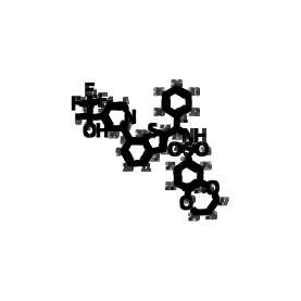 CC(O)(c1ccnc(-c2cccc3cc(C(NS(=O)(=O)c4ccc5c(c4)OCCCO5)c4ccccc4)sc23)c1)C(F)(F)F